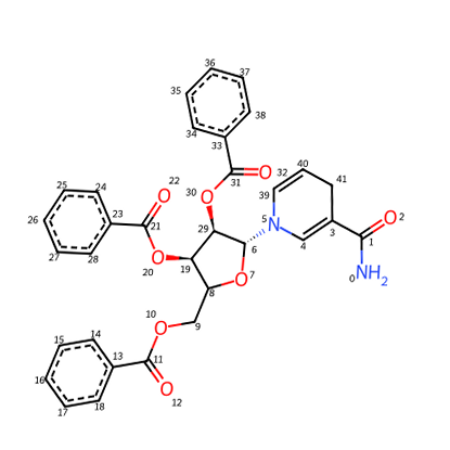 NC(=O)C1=CN([C@@H]2OC(COC(=O)c3ccccc3)[C@@H](OC(=O)c3ccccc3)[C@H]2OC(=O)c2ccccc2)C=CC1